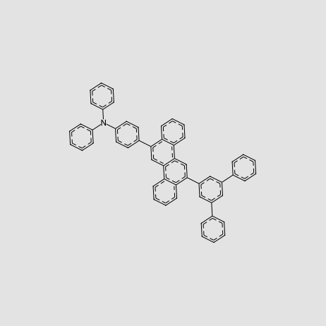 c1ccc(-c2cc(-c3ccccc3)cc(-c3cc4c5ccccc5c(-c5ccc(N(c6ccccc6)c6ccccc6)cc5)cc4c4ccccc34)c2)cc1